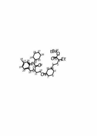 CCC(CC[C@H]1CCC[C@@H](OCCN(Cc2ccc(C)cc2)C(=O)NC2CCCCC2)C1)C(=O)OC(C)(C)C